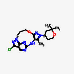 Cc1c2c(nn1[C@@H]1CCOC(C)(C)C1)OCCCn1nc(Cl)c3cnc(nc31)N2